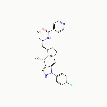 CCC(C[C@H]1CCC2=C1[C@@H](C)C1=CNN(c3ccc(F)cc3)C1=C2)NC(=O)c1ccncc1